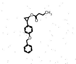 CCCC(=O)OC1CC1c1ccc(OCc2ccccc2)cc1